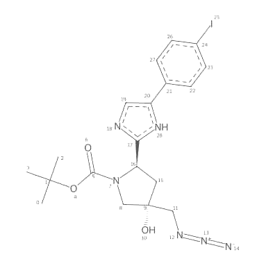 CC(C)(C)OC(=O)N1C[C@](O)(CN=[N+]=[N-])C[C@@H]1c1ncc(-c2ccc(I)cc2)[nH]1